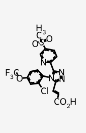 CS(=O)(=O)c1ccc(-c2nnc(/C=C/C(=O)O)n2-c2ccc(OC(F)(F)F)cc2Cl)nc1